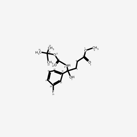 COC(=O)CCC(O)(NC(=O)OC(C)(C)C)c1cccc(F)c1